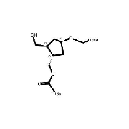 COCO[C@@H]1C[C@H](CO)[C@@H](COC(=O)C(C)(C)C)C1